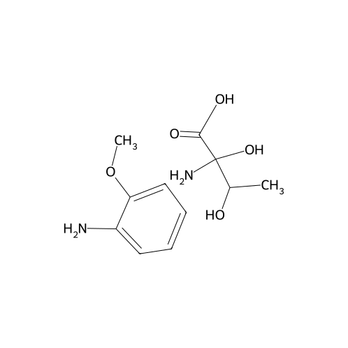 CC(O)C(N)(O)C(=O)O.COc1ccccc1N